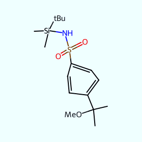 COC(C)(C)c1ccc(S(=O)(=O)N[Si](C)(C)C(C)(C)C)cc1